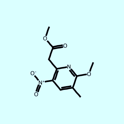 COC(=O)Cc1nc(OC)c(C)cc1[N+](=O)[O-]